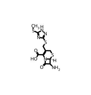 CSc1nc(SCC2=C(C(=O)O)N3C(=O)C(N)[C@@H]3SC2)n[nH]1